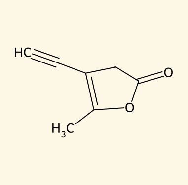 C#CC1=C(C)OC(=O)C1